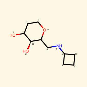 OC1CCOC(CNC2CCC2)[C@H]1O